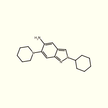 Nc1cc2cn([C]3CCCCC3)nc2cc1N1CCCCC1